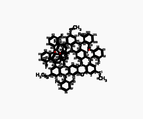 CSc1cc2c3c(c1)N(c1c(F)cccc1F)c1cc4c(cc1B3c1cc3c(cc1O2)N(c1c(F)cccc1F)c1cc(SC)cc2c1B3c1sc3ccc(F)cc3c1N2c1c(F)cccc1F)B1c2sc3ccc(F)cc3c2N(c2c(F)cccc2F)c2cc(SC)cc(c21)N4c1c(F)cccc1F